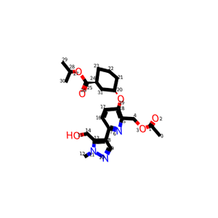 CC(=O)OCc1nc(-c2cnn(C)c2CO)ccc1O[C@H]1CCC[C@H](C(=O)OC(C)C)C1